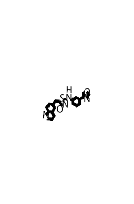 O=C1N=C(Nc2cccc(-c3cocn3)c2)SC1=Cc1ccc2ncccc2c1